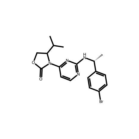 CC(C)C1COC(=O)N1c1ccnc(N[C@H](C)c2ccc(Br)cc2)n1